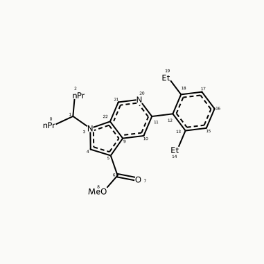 CCCC(CCC)n1cc(C(=O)OC)c2cc(-c3c(CC)cccc3CC)ncc21